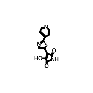 O=C1NC(=O)C(c2cnc(-c3ccncc3)s2)=C1O